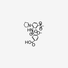 COc1ccc(C(=O)O)cc1S(=O)(=O)Nc1cc(S(C)(=O)=O)ccc1N1CCCCC1